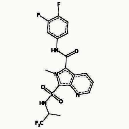 CC(NS(=O)(=O)c1c2ncccc2c(C(=O)Nc2ccc(F)c(F)c2)n1C)C(F)(F)F